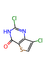 O=c1[nH]c(Cl)nc2c(Cl)csc12